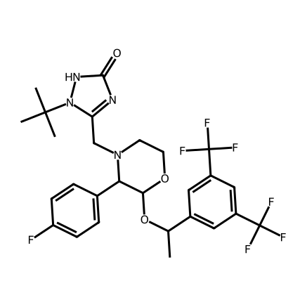 CC(OC1OCCN(Cc2nc(=O)[nH]n2C(C)(C)C)C1c1ccc(F)cc1)c1cc(C(F)(F)F)cc(C(F)(F)F)c1